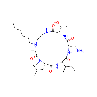 CCCCCCN1CCNC(=O)[C@H]([C@H](C)O)NC(=O)[C@H](CN)NC(=O)[C@H]([C@H](C)CC)NC(=O)[C@H](CC(C)C)N(C)C(=O)[C@@H]1C